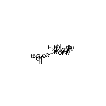 CC(C)(C)OC(=O)NCCOCCOCCCCCCn1cc(NC(O)c2coc(-c3ccnc(N(CC4CC4)C(=O)OC(C)(C)C)c3)n2)c(C(N)=O)n1